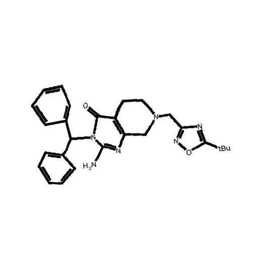 CC(C)(C)c1nc(CN2CCc3c(nc(N)n(C(c4ccccc4)c4ccccc4)c3=O)C2)no1